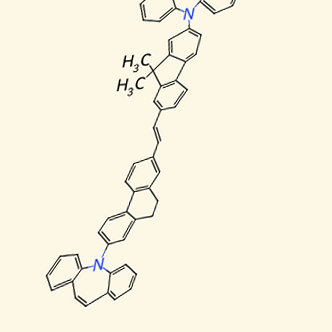 CC1(C)c2cc(/C=C/c3ccc4c(c3)CCc3cc(N5c6ccccc6C=Cc6ccccc65)ccc3-4)ccc2-c2ccc(N3c4ccccc4C=Cc4ccccc43)cc21